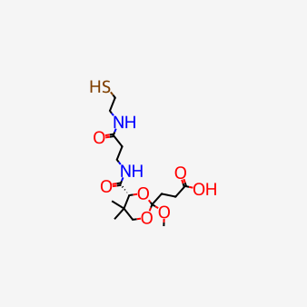 COC1(CCC(=O)O)OCC(C)(C)[C@H](C(=O)NCCC(=O)NCCS)O1